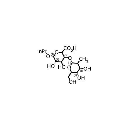 CCCO[C@@H]1OC(C(=O)O)[C@@H](O[C@H]2OC(CO)[C@@H](O)[C@H](O)C2C)C(O)[C@@H]1O